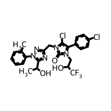 Cc1ccccc1-n1nc(Cn2c(Cl)c(-c3ccc(Cl)cc3)n(CC(O)C(F)(F)F)c2=O)nc1C(C)O